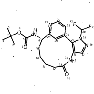 CC(C)(C)OC(=O)N[C@H]1CCCCC(=O)Nc2cnn(C(F)F)c2-c2ccnc1c2